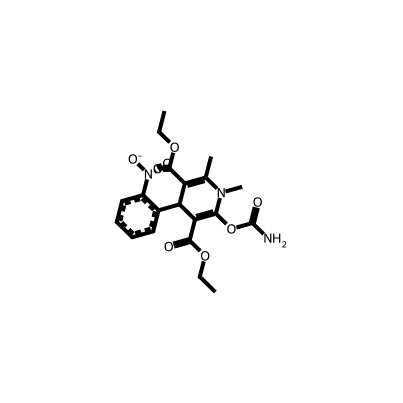 CCOC(=O)C1=C(C)N(C)C(OC(N)=O)=C(C(=O)OCC)C1c1ccccc1[N+](=O)[O-]